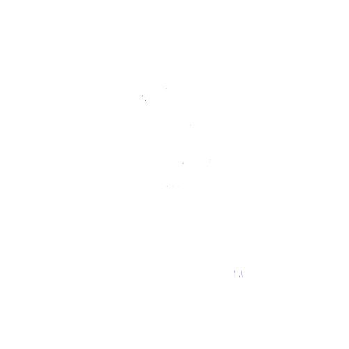 Cc1cc(C(=O)Oc2ccc([NH])cc2)c2ccccc2n1